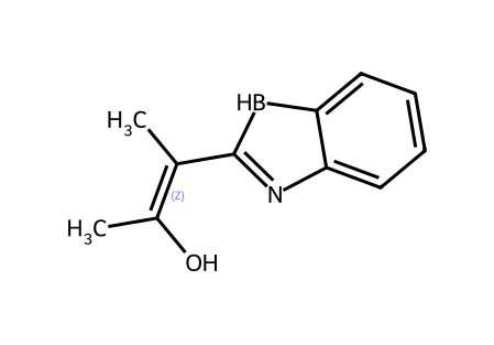 C/C(O)=C(\C)C1=Nc2ccccc2B1